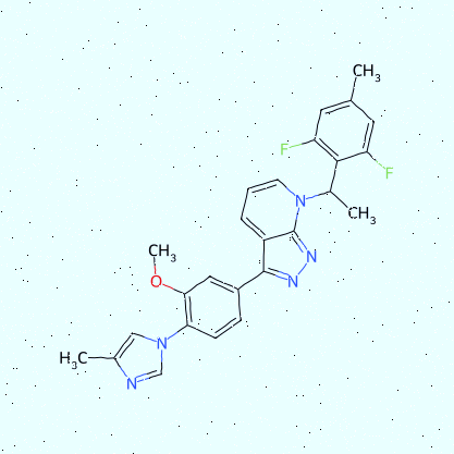 COc1cc(-c2nnc3n(C(C)c4c(F)cc(C)cc4F)cccc2-3)ccc1-n1cnc(C)c1